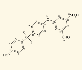 CC(C)(c1ccc(O)cc1)c1ccc(Oc2cc(C=O)cc(S(=O)(=O)O)c2)cc1